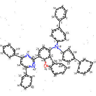 c1ccc(-c2ccc(N(c3ccc(-c4ccccc4)cc3)c3ccc(-c4nc(-c5ccccc5)cc(-c5ccccc5)n4)c4oc5ccccc5c34)cc2)cc1